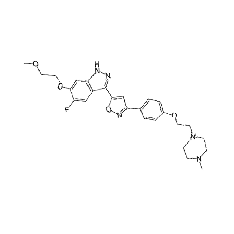 COCCOc1cc2[nH]nc(-c3cc(-c4ccc(OCCN5CCN(C)CC5)cc4)no3)c2cc1F